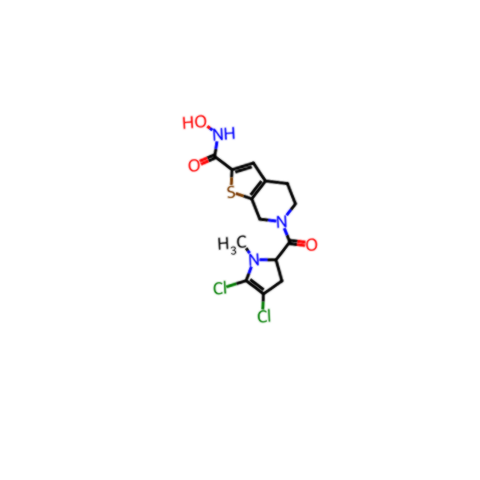 CN1C(Cl)=C(Cl)CC1C(=O)N1CCc2cc(C(=O)NO)sc2C1